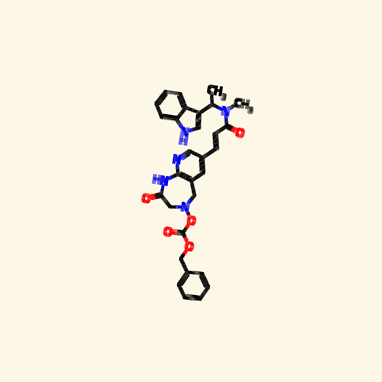 CC(c1c[nH]c2ccccc12)N(C)C(=O)/C=C/c1cnc2c(c1)CN(OC(=O)OCc1ccccc1)CC(=O)N2